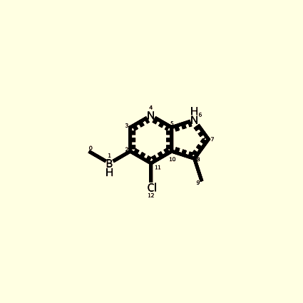 CBc1cnc2[nH]cc(C)c2c1Cl